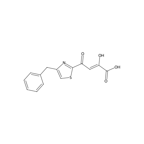 O=C(O)/C(O)=C/C(=O)c1nc(Cc2ccccc2)cs1